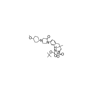 COC1CCC(N2CCN(c3ccc(CC(C)(C)C[C@H](NC(=O)OC(C)(C)C)C(=O)O)cc3)C(=O)C2)CC1